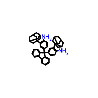 Nc1ccc(C2(c3ccc(N)c(C45CC6CC(CC(C6)C4)C5)c3)c3ccccc3-c3ccccc32)cc1C12CC3CC(CC(C3)C1)C2